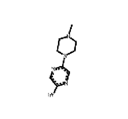 CC(C)c1cnc(N2CCN(C)CC2)cn1